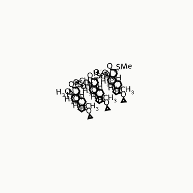 CN1C(=O)[C@H](S(C)(=O)=O)C[C@]2(C)[C@H]3CC[C@]4(C)[C@@H](OC5CC5)CC[C@H]4[C@@H]3CC[C@@H]12.CN1C(=O)[C@H]([S+](C)[O-])C[C@]2(C)[C@H]3CC[C@]4(C)[C@@H](OC5CC5)CC[C@H]4[C@@H]3CC[C@@H]12.CS[C@@H]1C[C@]2(C)[C@H]3CC[C@]4(C)[C@@H](OC5CC5)CC[C@H]4[C@@H]3CC[C@H]2N(C)C1=O